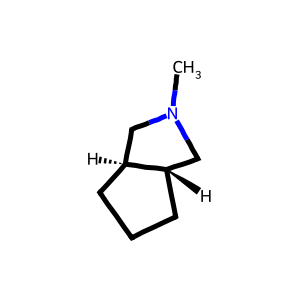 CN1C[C@@H]2CCC[C@H]2C1